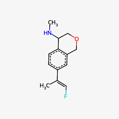 CNC1COCc2cc(C(C)=CF)ccc21